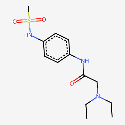 CCN(CC)CC(=O)Nc1ccc(NS(C)(=O)=O)cc1